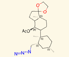 CC(=O)O[C@H]1C2CCC3(OCCO3)[C@@]2(C)CCC1[C@@]1(C)CC[C@H](C)C[C@@H]1CN=[N+]=[N-]